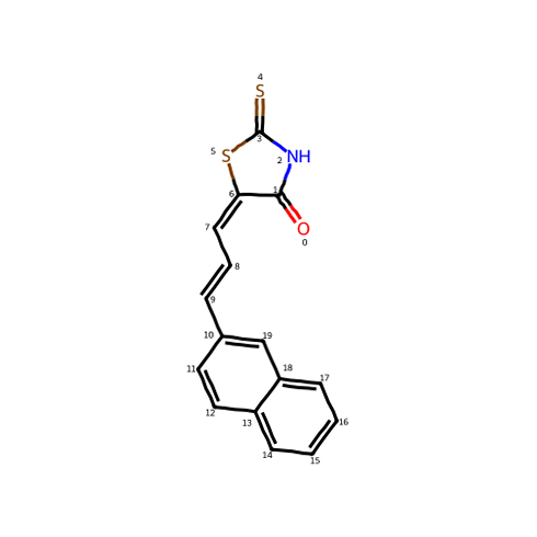 O=C1NC(=S)SC1=CC=Cc1ccc2ccccc2c1